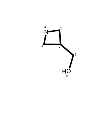 OCC1C[N]C1